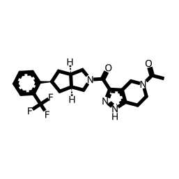 CC(=O)N1CCc2[nH]nc(C(=O)N3C[C@H]4C[C@@H](c5ccccc5C(F)(F)F)C[C@H]4C3)c2C1